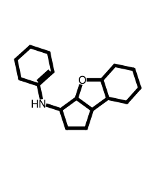 C1=C(NC2CCC3C4CCCCC4OC23)CCCC1